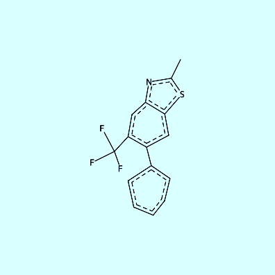 Cc1nc2cc(C(F)(F)F)c(-c3ccccc3)cc2s1